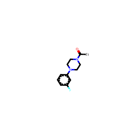 CCC(=O)N1CCN(c2cccc(F)c2)CC1